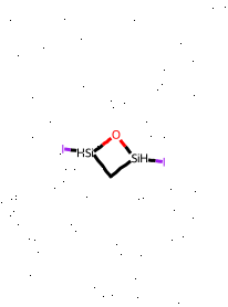 I[SiH]1C[SiH](I)O1